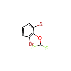 FC(F)Oc1c(Br)cccc1Br